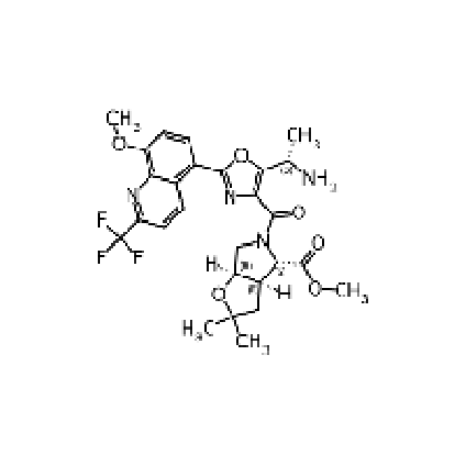 COC(=O)[C@@H]1[C@H]2CC(C)(C)O[C@H]2CN1C(=O)c1nc(-c2ccc(OC)c3nc(C(F)(F)F)ccc23)oc1[C@H](C)N